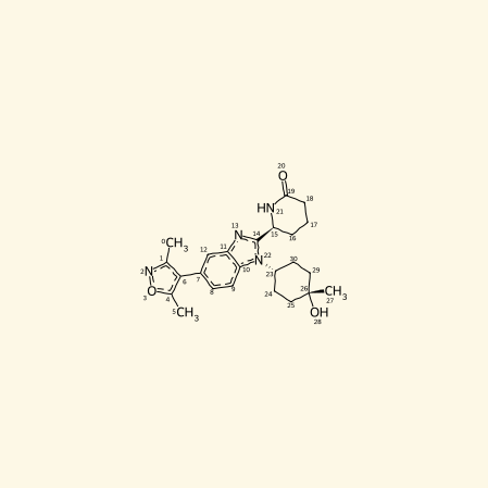 Cc1noc(C)c1-c1ccc2c(c1)nc([C@@H]1CCCC(=O)N1)n2[C@H]1CC[C@@](C)(O)CC1